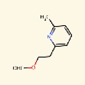 Cc1cccc(CCOC=O)n1